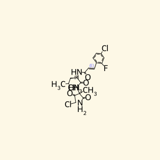 CC(C)C[C@@H](NC(=O)/C=C/c1ccc(Cl)cc1F)C(=O)NC(C)(C(N)=O)C(=O)CCl